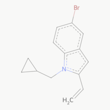 C=Cc1cc2cc(Br)ccc2n1CC1CC1